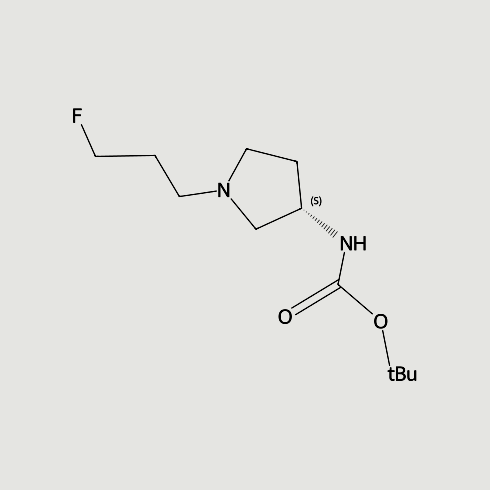 CC(C)(C)OC(=O)N[C@H]1CCN(CCCF)C1